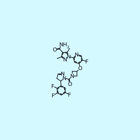 Cc1nn(-c2cc(OC3CN(C(=O)N4N=CCC4c4cc(F)cc(F)c4F)C3)c(F)cn2)c(C)c1C(N)=O